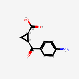 Nc1ccc(C(=O)[C@H]2C[C@H]2C(=O)O)cc1